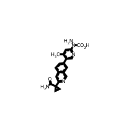 Cc1cc(N(N)C(=O)O)ncc1-c1ccc2cc(C3(C(N)=O)CC3)ncc2c1